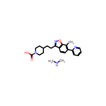 CNC.Cc1c(-c2ccccn2)ccc2c(CCC3CCN(C(=O)O)CC3)noc12